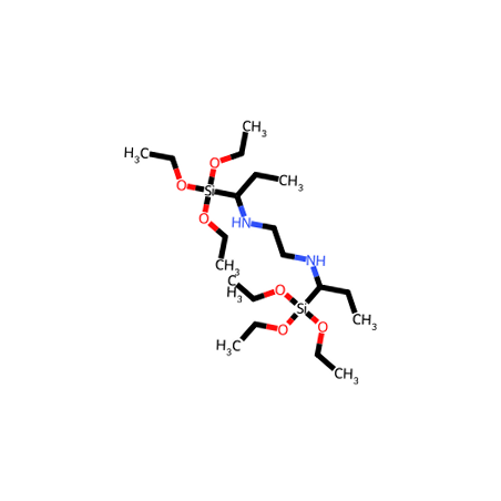 CCO[Si](OCC)(OCC)C(CC)NCCNC(CC)[Si](OCC)(OCC)OCC